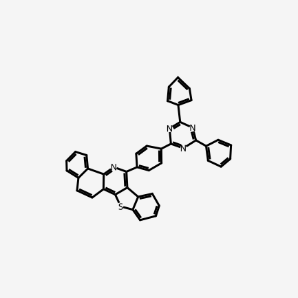 c1ccc(-c2nc(-c3ccccc3)nc(-c3ccc(-c4nc5c6ccccc6ccc5c5sc6ccccc6c45)cc3)n2)cc1